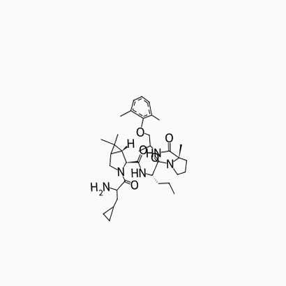 CCC[C@H](NC(=O)[C@@H]1[C@@H]2C(CN1C(=O)C(N)CC1CC1)C2(C)C)C(=O)N1CCC[C@@]1(C)C(=O)NC(C)COc1c(C)cccc1C